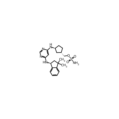 CC1(C)C[C@H](Nc2cc(N[C@H]3CC[C@H](COS(N)(=O)=O)C3)ncn2)c2ccccc21